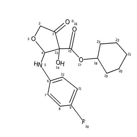 O=C1COC(Nc2ccc(F)cc2)C1(O)C(=O)OC1CCCCC1